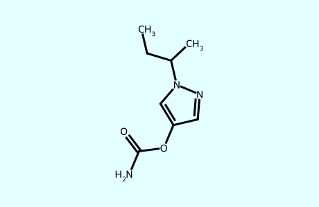 CCC(C)n1cc(OC(N)=O)cn1